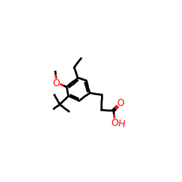 CCc1cc(CCC(=O)O)cc(C(C)(C)C)c1OC